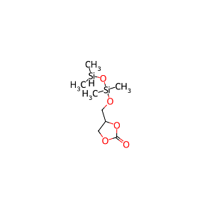 C[SiH](C)O[Si](C)(C)OCC1COC(=O)O1